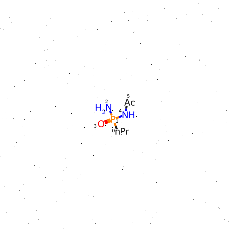 CCCP(N)(=O)NC(C)=O